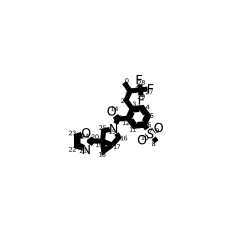 CC(Cc1ccc(S(C)(=O)=O)cc1C(=O)N1CC2CC2(c2ncco2)C1)C(F)(F)F